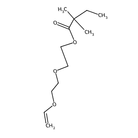 C=COCCOCCOC(=O)C(C)(C)CC